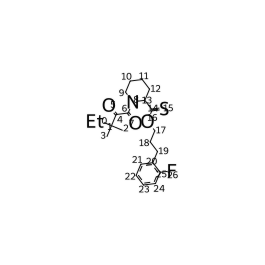 CCC(C)(C)C(=O)C(=O)N1CCCCC1C(=S)OCCCc1ccccc1F